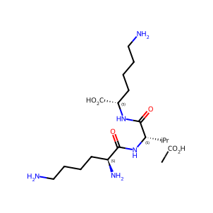 CC(=O)O.CC(C)[C@H](NC(=O)[C@@H](N)CCCCN)C(=O)N[C@@H](CCCCN)C(=O)O